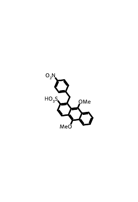 COc1c2ccccc2c(OC)c2c(Cc3ccc([N+](=O)[O-])cc3)c(S(=O)(=O)O)ccc12